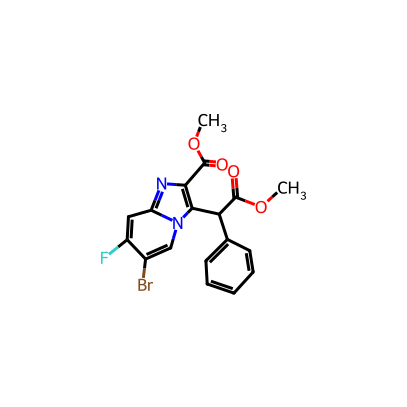 COC(=O)c1nc2cc(F)c(Br)cn2c1C(C(=O)OC)c1ccccc1